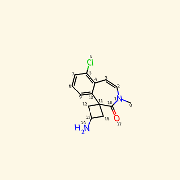 CN1C=Cc2c(Cl)cccc2C2(CC(N)C2)C1=O